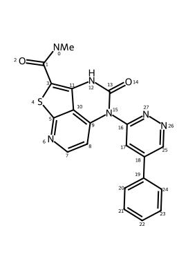 CNC(=O)c1sc2nccc3c2c1NC(=O)N3c1cc(-c2ccccc2)cnn1